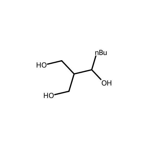 CCCCC(O)C(CO)CO